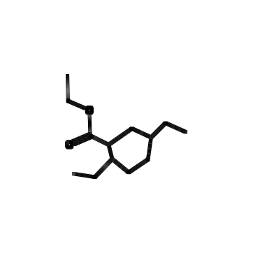 CCOC(=O)C1CC(CC)CCC1CC